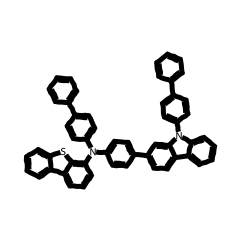 c1ccc(-c2ccc(N(c3ccc(-c4ccc5c6ccccc6n(-c6ccc(-c7ccccc7)cc6)c5c4)cc3)c3cccc4c3sc3ccccc34)cc2)cc1